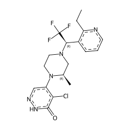 CCc1ncccc1[C@@H](N1CCN(c2cn[nH]c(=O)c2Cl)[C@H](C)C1)C(F)(F)F